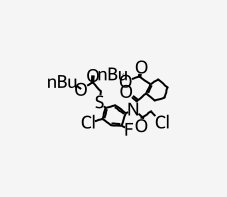 CCCCOC(=O)CSc1cc(N(C(=O)CCl)C(=O)C2=C(C(=O)OCCCC)CCCC2)c(F)cc1Cl